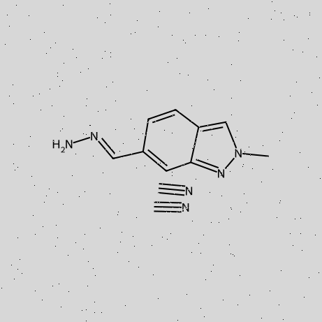 C#N.C#N.Cn1cc2ccc(C=NN)cc2n1